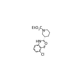 CCOC(=O)N1CCC[C@H](C(=O)Nc2cccc(Cl)c2F)C1